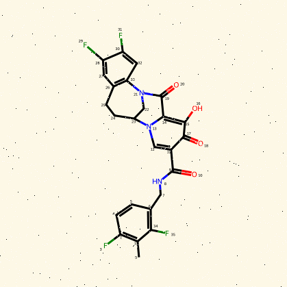 Cc1c(F)ccc(CNC(=O)c2cn3c(c(O)c2=O)C(=O)N2CC3CCc3cc(F)c(F)cc32)c1F